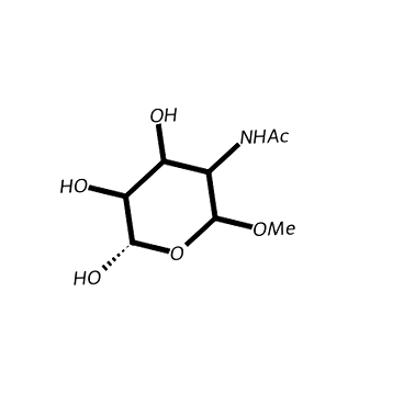 COC1O[C@H](O)C(O)C(O)C1NC(C)=O